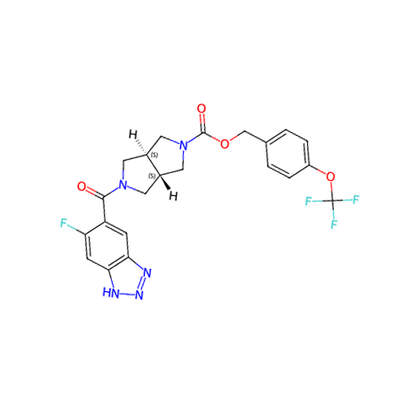 O=C(OCc1ccc(OC(F)(F)F)cc1)N1C[C@@H]2CN(C(=O)c3cc4nn[nH]c4cc3F)C[C@H]2C1